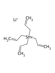 C=C[CH2][Sm-]([CH2]C=C)([CH2]C=C)[CH2]C=C.[Li+]